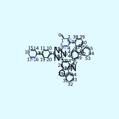 C=C/C=C(\C=C\c1nc(-c2ccc(C(C=C)/C=C\C)cc2)nc(-c2ccc3c(c2)oc2ccccc23)n1)C1C=CC=C2C1c1ccc(C#N)cc1C21CCCCC1